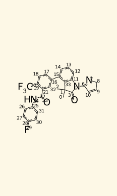 CC1(C)C(=O)N(C2=NCC=C2)c2cccc(-c3ccc(C(F)(F)F)c(C(=O)Nc4ccc(F)cc4)c3)c21